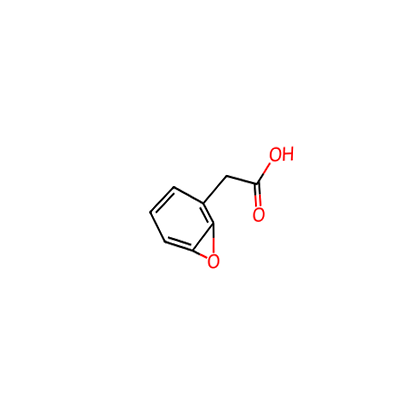 O=C(O)Cc1cccc2c1O2